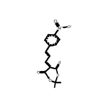 CC1(C)OC(=O)C(=CC=Cc2ccc([N+](=O)[O-])cc2)C(=O)O1